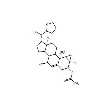 CC(=O)O[C@@H]1CC2=C[C@@H](O)C3C4CC[C@H](C(C)C5OCCO5)[C@@]4(C)CCC3[C@@]2(C)[C@H]2O[C@@H]12